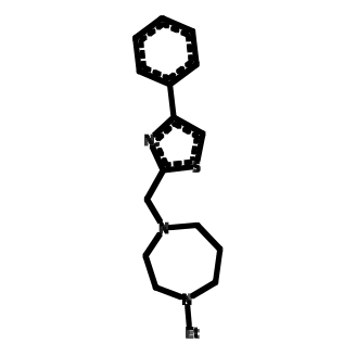 CCN1CCCN(Cc2nc(-c3ccccc3)cs2)CC1